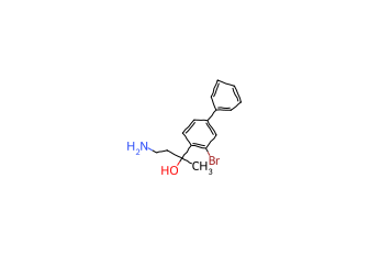 CC(O)(CCN)c1ccc(-c2ccccc2)cc1Br